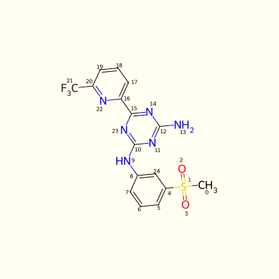 CS(=O)(=O)c1cccc(Nc2nc(N)nc(-c3cccc(C(F)(F)F)n3)n2)c1